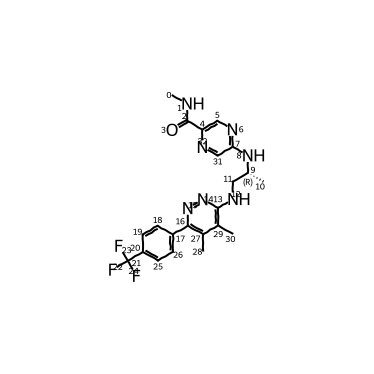 CNC(=O)c1cnc(N[C@H](C)CNc2nnc(-c3ccc(C(F)(F)F)cc3)c(C)c2C)cn1